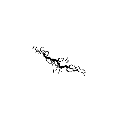 CCNC(=O)C=C(C)C=CC=C(C)C=CC=C(C)CCC=C(C)C